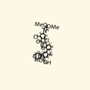 COC1(OC)CN(c2cc(Cl)c(C(=O)N3COc4c(cccc4-c4cc(N5C6CCC5COC6)c(C(O)O)cc4F)C3)c(Cl)c2)C1